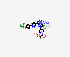 C[C@@H](O)C(=O)N1CCC(c2nc3c(-c4ccc(-c5ccc(OC(F)(F)F)cc5)nc4)cnn3c(N)c2Br)CC1